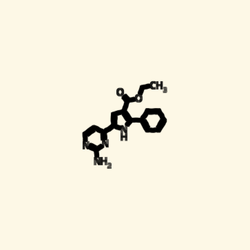 CCOC(=O)c1cc(-c2ccnc(N)n2)[nH]c1-c1ccccc1